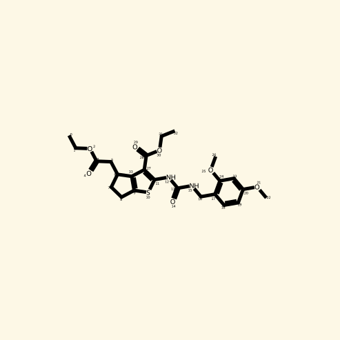 CCOC(=O)CC1CCc2sc(NC(=O)NCc3ccc(OC)cc3OC)c(C(=O)OCC)c21